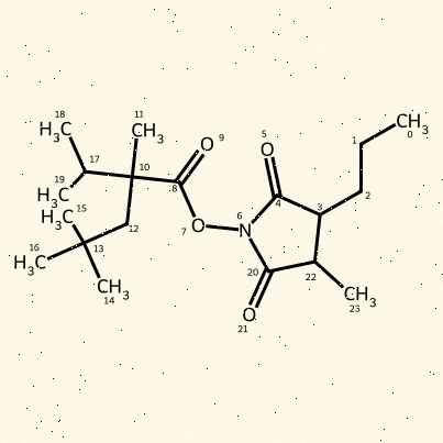 CCCC1C(=O)N(OC(=O)C(C)(CC(C)(C)C)C(C)C)C(=O)C1C